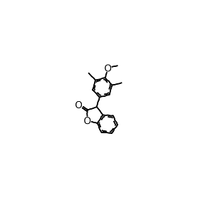 COc1c(C)cc(C2C(=O)Oc3ccccc32)cc1C